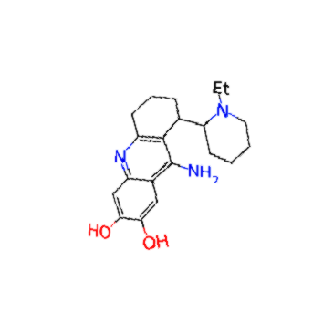 CCN1CCCCC1C1CCCc2nc3cc(O)c(O)cc3c(N)c21